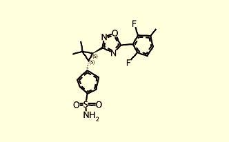 Cc1ccc(F)c(-c2nc([C@H]3[C@H](c4ccc(S(N)(=O)=O)cc4)C3(C)C)no2)c1F